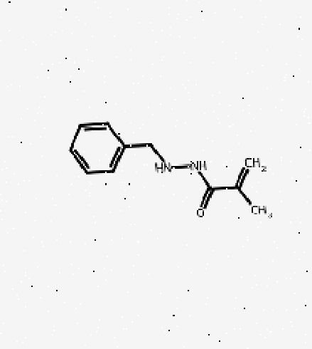 C=C(C)C(=O)NNCc1ccccc1